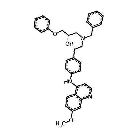 COc1ccc2c(Nc3ccc(CCN(Cc4ccccc4)C[C@H](O)COc4ccccc4)cc3)ccnc2c1